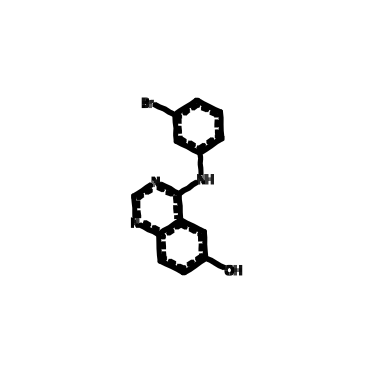 Oc1ccc2ncnc(Nc3cccc(Br)c3)c2c1